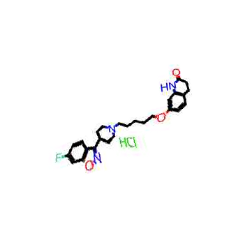 Cl.O=C1CCc2ccc(OCCCCCN3CCC(c4noc5cc(F)ccc45)CC3)cc2N1